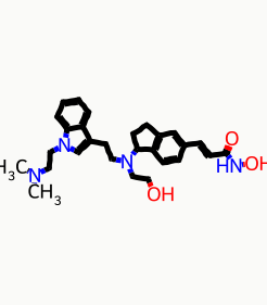 CN(C)CCn1cc(CCN(CCO)C2CCc3cc(C=CC(=O)NO)ccc32)c2ccccc21